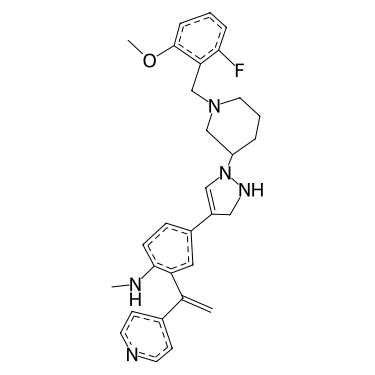 C=C(c1ccncc1)c1cc(C2=CN(C3CCCN(Cc4c(F)cccc4OC)C3)NC2)ccc1NC